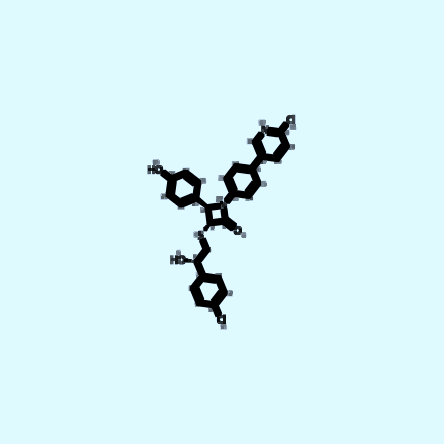 O=C1[C@H](SC[C@@H](O)c2ccc(Cl)cc2)[C@@H](c2ccc(O)cc2)N1c1ccc(-c2ccc(Cl)nc2)cc1